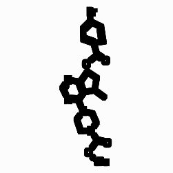 CC1C[C@@H](OC(=O)c2ccc(Br)cc2)c2ncnc(N3CCN(C(=O)OC(C)(C)C)CC3)c21